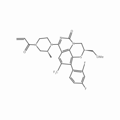 C=CC(=O)N1CCN(c2nc(=O)n3c4c(c(-c5ccc(F)cc5F)c(C(F)(F)F)cc24)S[C@H](COC)C3)[C@@H](C)C1